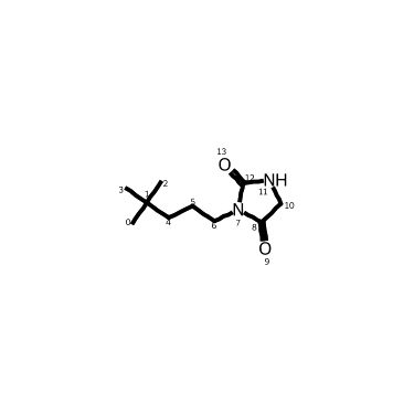 CC(C)(C)CCCN1C(=O)CNC1=O